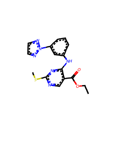 CCOC(=O)c1cnc(SC)nc1Nc1cccc(-n2nccn2)c1